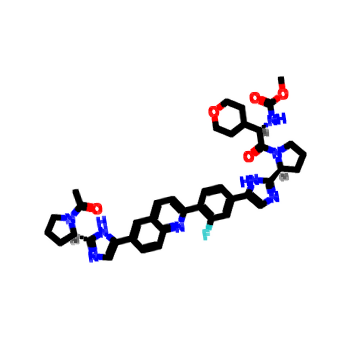 COC(=O)N[C@H](C(=O)N1CCC[C@H]1c1ncc(-c2ccc(-c3ccc4cc(-c5cnc([C@@H]6CCCN6C(C)=O)[nH]5)ccc4n3)c(F)c2)[nH]1)C1CCOCC1